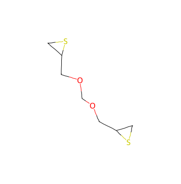 C(OCC1CS1)OCC1CS1